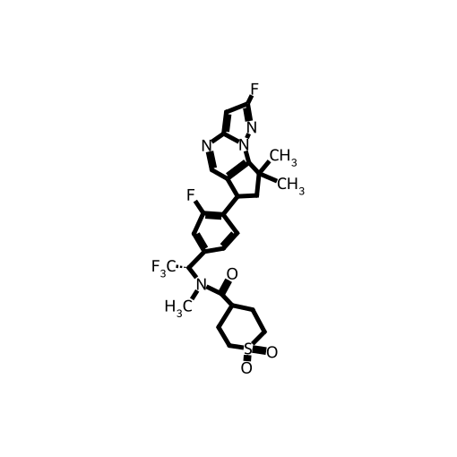 CN(C(=O)C1CCS(=O)(=O)CC1)[C@@H](c1ccc(C2CC(C)(C)c3c2cnc2cc(F)nn32)c(F)c1)C(F)(F)F